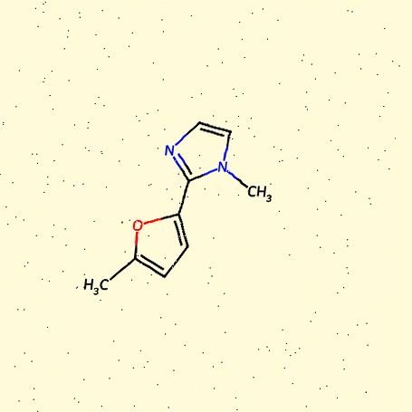 Cc1ccc(-c2nccn2C)o1